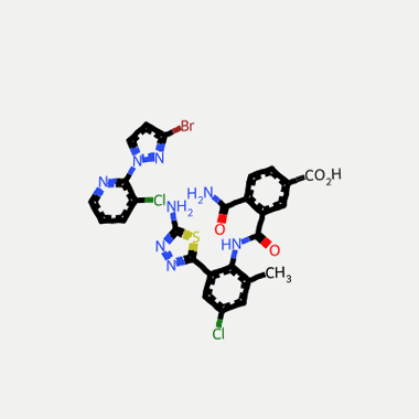 Cc1cc(Cl)cc(-c2nnc(N)s2)c1NC(=O)c1cc(C(=O)O)ccc1C(N)=O.Clc1cccnc1-n1ccc(Br)n1